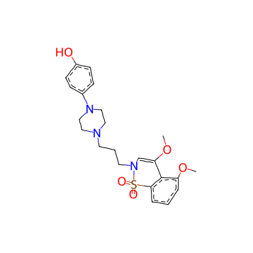 COC1=CN(CCCN2CCN(c3ccc(O)cc3)CC2)S(=O)(=O)c2cccc(OC)c21